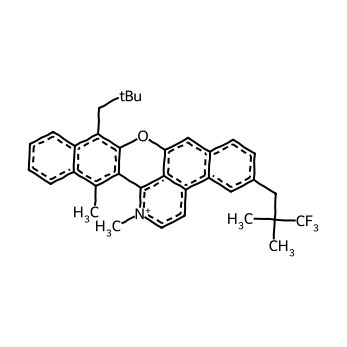 Cc1c2c(c(CC(C)(C)C)c3ccccc13)Oc1cc3ccc(CC(C)(C)C(F)(F)F)cc3c3cc[n+](C)c-2c13